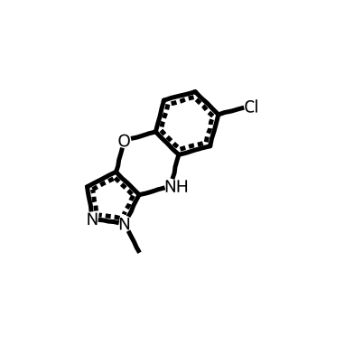 Cn1ncc2c1Nc1cc(Cl)ccc1O2